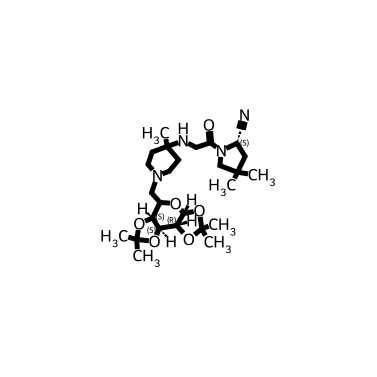 CC1(C)C[C@@H](C#N)N(C(=O)CNC2(C)CCN(CC3O[C@@H]4OC(C)(C)O[C@@H]4[C@H]4OC(C)(C)O[C@@H]34)CC2)C1